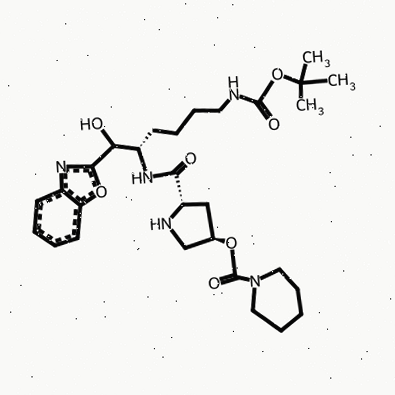 CC(C)(C)OC(=O)NCCCC[C@H](NC(=O)[C@@H]1C[C@@H](OC(=O)N2CCCCC2)CN1)C(O)c1nc2ccccc2o1